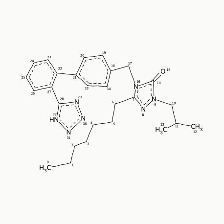 CCCCCCCc1nn(CC(C)C)c(=O)n1Cc1ccc(-c2ccccc2-c2nnn[nH]2)cc1